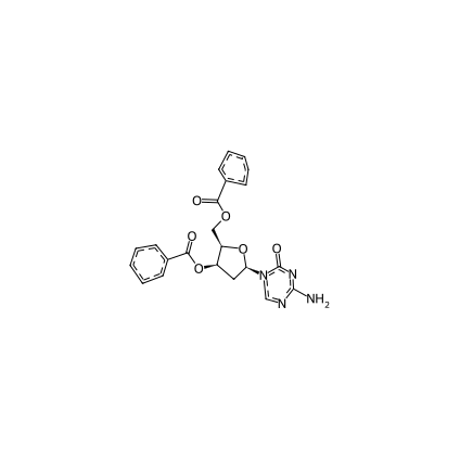 Nc1ncn([C@H]2C[C@@H](OC(=O)c3ccccc3)[C@@H](COC(=O)c3ccccc3)O2)c(=O)n1